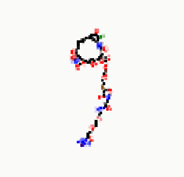 COc1cc2cc(c1Cl)N(C)C(=O)C[C@H](OC(=O)[C@H](C)OCCOCCSC1COCN(CCC(=O)NCCOCCOCCC(=O)NNI)C(=O)C1)[C@@]1(C)CC(C)(O1)C1C[C@@](O)(NC(=O)O1)[C@H](OC)/C=C/C=C(\C)C2